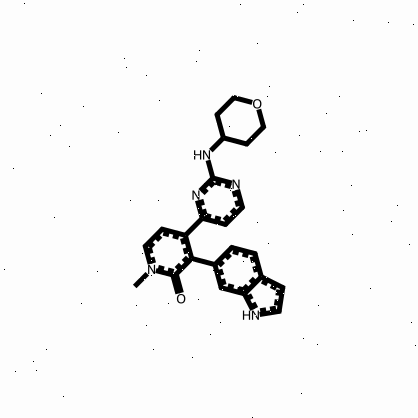 Cn1ccc(-c2ccnc(NC3CCOCC3)n2)c(-c2ccc3cc[nH]c3c2)c1=O